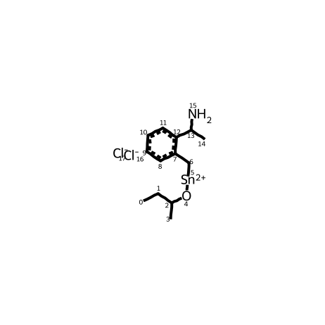 CCC(C)[O][Sn+2][CH2]c1ccccc1C(C)N.[Cl-].[Cl-]